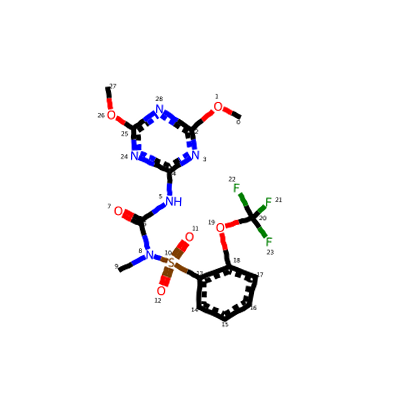 COc1nc(NC(=O)N(C)S(=O)(=O)c2ccccc2OC(F)(F)F)nc(OC)n1